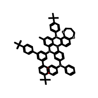 Cc1cc2c3c(c1)N(c1ccc(C(C)(C)C)cc1)c1c(ccc4c1OCCCO4)B3c1ccc(N(c3ccccc3)c3ccccc3)cc1N2c1cc(-c2ccc(C(C)(C)C)cc2)cc(-c2ccc(C(C)(C)C)cc2)c1